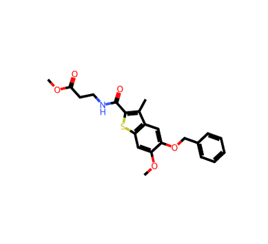 COC(=O)CCNC(=O)c1sc2cc(OC)c(OCc3ccccc3)cc2c1C